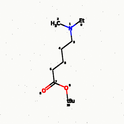 CCN(C)CCCCC(=O)OC(C)(C)C